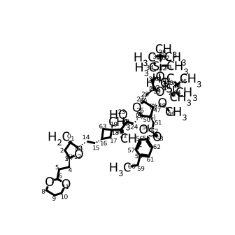 C=C1C[C@H](CCC2OCCCO2)O[C@H]1CC[C@H]1C[C@](C)(C(=C)[C@H](O)C[C@@H]2O[C@H](C[C@@H](CO[Si](C)(C)C(C)(C)C)O[Si](C)(C)C(C)(C)C)[C@H](OC)[C@H]2CS(=O)(=O)c2ccc(CC)cc2)C1